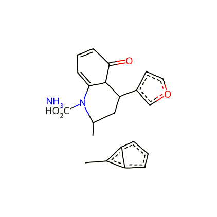 CC1CC(c2ccoc2)C2C(=O)C=CC=C2N1C(=O)O.Cc1c2cccc1-2.N